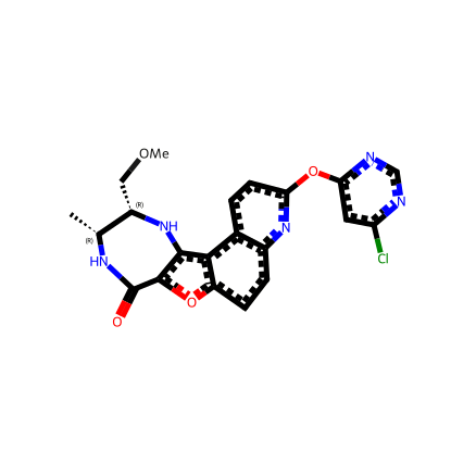 COC[C@@H]1Nc2c(oc3ccc4nc(Oc5cc(Cl)ncn5)ccc4c23)C(=O)N[C@@H]1C